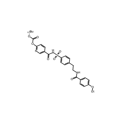 CCOc1ccc(C(=O)NCCc2ccc(S(=O)(=O)NC(=O)c3ccc(OC(=O)O[C@@H](C)CC)nc3)cc2)cc1